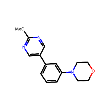 COc1ncc(-c2cc[c]c(N3CCOCC3)c2)cn1